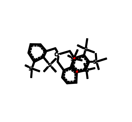 C[Si](C)(C)c1cccc([CH2][Cr]([CH2]c2cccc([Si](C)(C)C)c2[Si](C)(C)C)[CH2]c2cccc([Si](C)(C)C)c2[Si](C)(C)C)c1[Si](C)(C)C